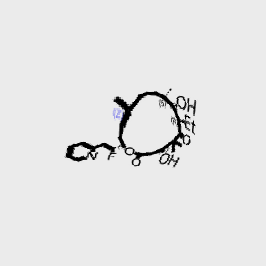 CC[C@H]1C(=O)C(C)(C)[C@@H](O)CC(=O)O[C@H](C(F)=Cc2ccccn2)C/C=C(/C)CCC[C@H](C)[C@@H]1O